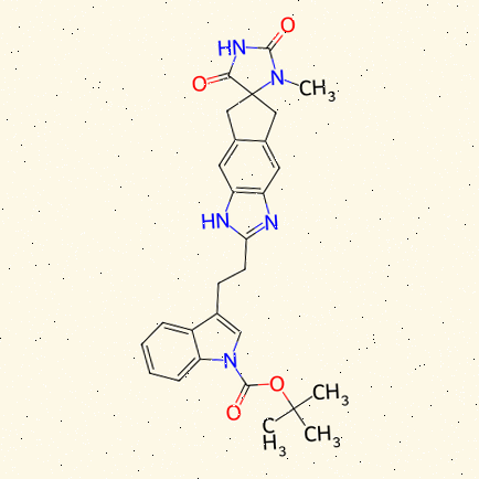 CN1C(=O)NC(=O)C12Cc1cc3nc(CCc4cn(C(=O)OC(C)(C)C)c5ccccc45)[nH]c3cc1C2